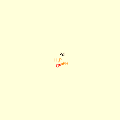 O=P.P.[Pd]